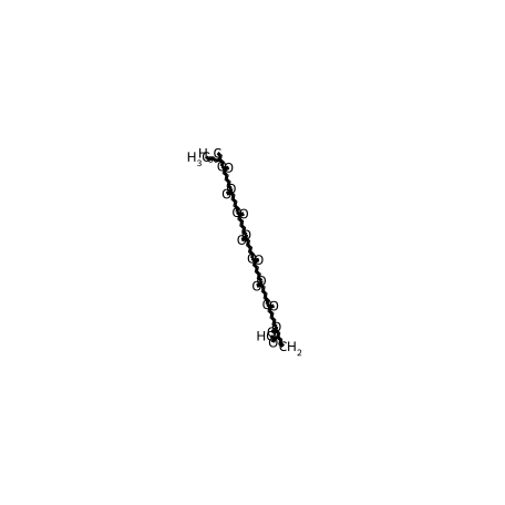 C=CCC(CC(=O)OCCCCCC(=O)OCCCCCC(=O)OCCCCCC(=O)OCCCCCC(=O)OCCCCCC(=O)OCCCCCC(=O)OCCCCCC(=O)OCC(CC)CCCC)C(=O)O